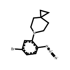 [N-]=[N+]=Nc1ccc(Br)cc1N1CCC2(CC1)CC2